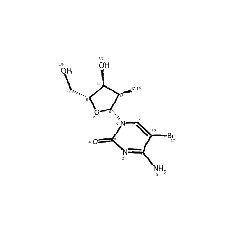 Nc1nc(=O)n([C@@H]2O[C@H](CO)[C@@H](O)[C@H]2F)cc1Br